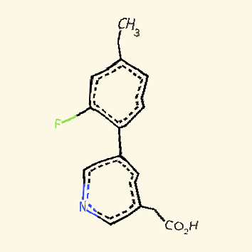 Cc1ccc(-c2cncc(C(=O)O)c2)c(F)c1